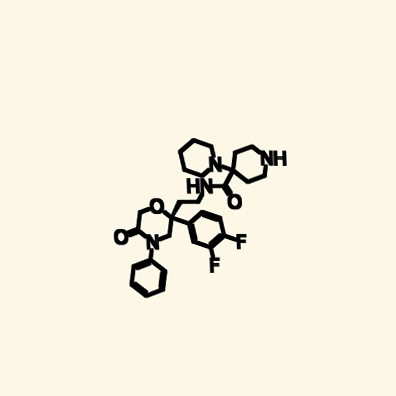 O=C1CO[C@](CCNC(=O)C2(N3CCCCC3)CCNCC2)(c2ccc(F)c(F)c2)CN1c1ccccc1